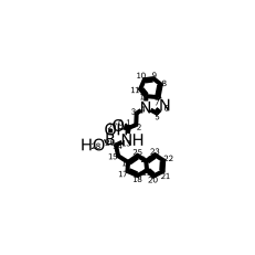 O=C(CCn1cnc2ccccc21)NC(Cc1ccc2ccccc2c1)B(O)O